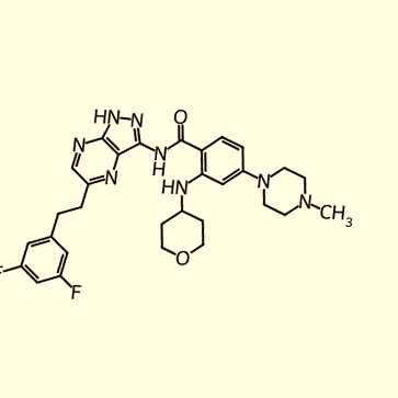 CN1CCN(c2ccc(C(=O)Nc3n[nH]c4ncc(CCc5cc(F)cc(F)c5)nc34)c(NC3CCOCC3)c2)CC1